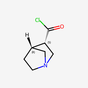 O=C(Cl)[C@@H]1CN2CC[C@H]1C2